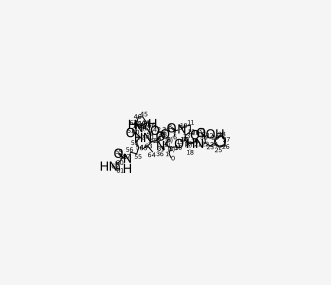 CC[C@H](C)[C@@H]([C@@H](CC(=O)N1CCCC1[C@H](OC)[C@@H](C)C(=O)NC(Cc1ccccc1)C(=O)O)OC)N(C)C(=O)C(NC(=O)[C@@H]1[C@H]2CC[C@H](C2)N1C(=O)CCCCCNC(=O)C1CN1)C(C)C